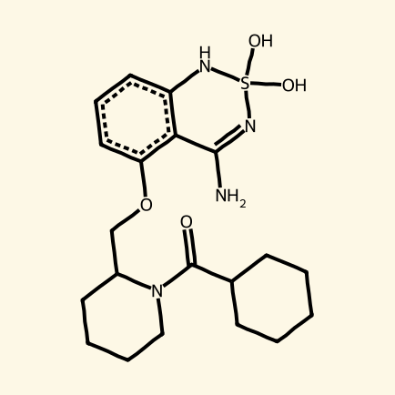 NC1=NS(O)(O)Nc2cccc(OCC3CCCCN3C(=O)C3CCCCC3)c21